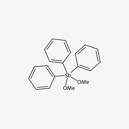 C[O][Sb]([O]C)([c]1ccccc1)([c]1ccccc1)[c]1ccccc1